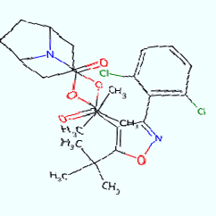 CC(C)(C)OC(=O)N1C2CCC1CC(OC(=O)c1c(-c3c(Cl)cccc3Cl)noc1C(C)(C)C)C2